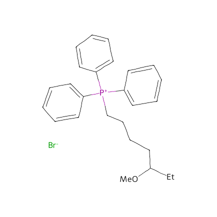 CCC(CCCC[P+](c1ccccc1)(c1ccccc1)c1ccccc1)OC.[Br-]